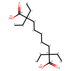 CCC(CC)(CCCCCC(CC)(CC)C(=O)O)C(=O)O